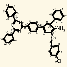 Nc1c(OCc2ccc(Cl)cc2)cc(-c2ccc(-c3nc(-c4ccccc4)nc(-c4ccccc4)n3)cc2)cc1-c1ccccc1